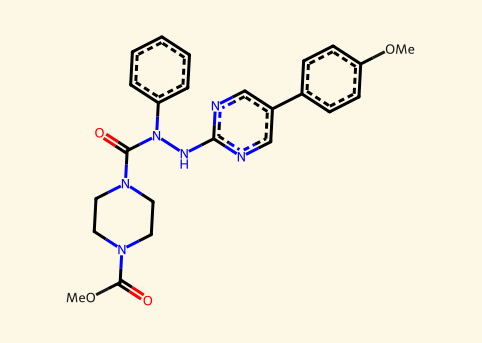 COC(=O)N1CCN(C(=O)N(Nc2ncc(-c3ccc(OC)cc3)cn2)c2ccccc2)CC1